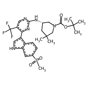 CC1(C)C[C@H](Nc2ncc(C(F)(F)F)c(-c3c[nH]c4cc(S(C)(=O)=O)ccc34)n2)CN(C(=O)OC(C)(C)C)C1